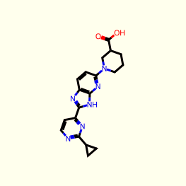 O=C(O)C1CCCN(c2ccc3nc(-c4ccnc(C5CC5)n4)[nH]c3n2)C1